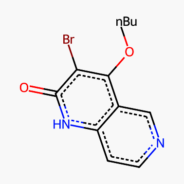 CCCCOc1c(Br)c(=O)[nH]c2ccncc12